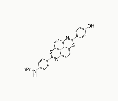 CCCNc1ccc(C2=Nc3ccc4c5c(ccc(c35)S2)N=C(c2ccc(O)cc2)S4)cc1